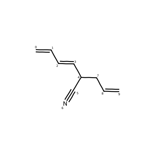 C=CC=CC(C#N)CC=C